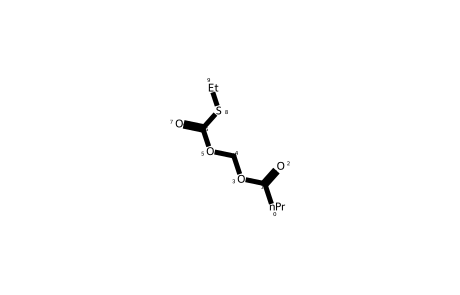 CCCC(=O)OCOC(=O)SCC